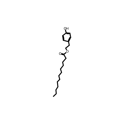 CCCCCCCCCCCCC(=O)OCCc1ccc(O)cc1